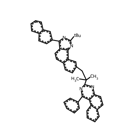 CC(C)(C)c1nc(-c2ccc3ccccc3c2)c2ccc3ccc(CC(C)(C)c4nc(-c5ccccc5)c5c(ccc6ccccc65)n4)cc3c2n1